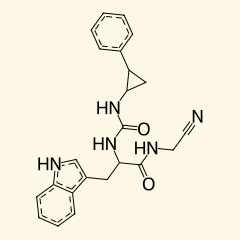 N#CCNC(=O)C(Cc1c[nH]c2ccccc12)NC(=O)NC1CC1c1ccccc1